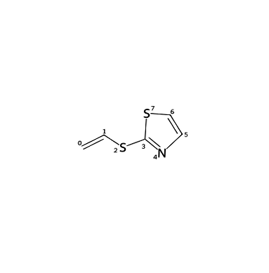 C=CSc1nccs1